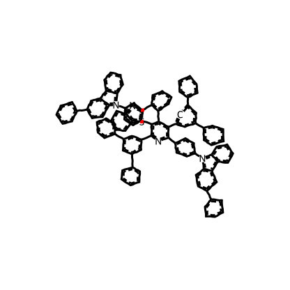 c1ccc(-c2cc(-c3ccccc3)cc(-c3nc(-c4ccc(-n5c6ccccc6c6cc(-c7ccccc7)ccc65)cc4)c(-c4cc(-c5ccccc5)cc(-c5ccccc5)c4)c(-c4ccccc4-c4nc5ccccc5s4)c3-c3ccc(-n4c5ccccc5c5cc(-c6ccccc6)ccc54)cc3)c2)cc1